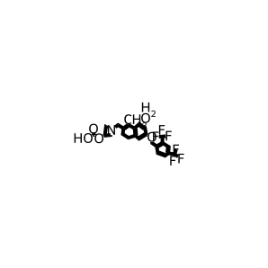 CC1=C(CN2CC(OC(=O)O)C2)CCc2cc(OCc3ccc(C(F)(F)F)cc3C(F)(F)F)ccc21.O